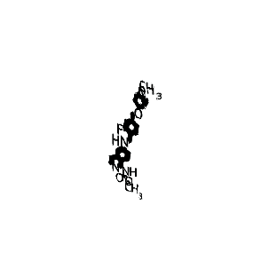 COC(=O)Nc1nccc2cc(NCc3ccc(CO[C@@H]4CC5CC4CN5C)cc3F)ccc12